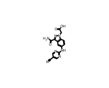 N#Cc1cnc(Nc2ccc3c(c2)c(C(N)=O)nn3CC(=O)O)nc1